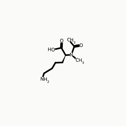 CC(=O)N(C)[C@@H](CCCCN)C(=O)O